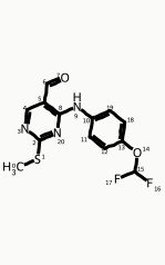 CSc1ncc(C=O)c(Nc2ccc(OC(F)F)cc2)n1